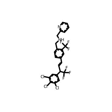 FC(F)(F)c1cc(C=CC(c2cc(Cl)c(Cl)c(Cl)c2)C(F)(F)F)ccc1CNCc1ccccn1